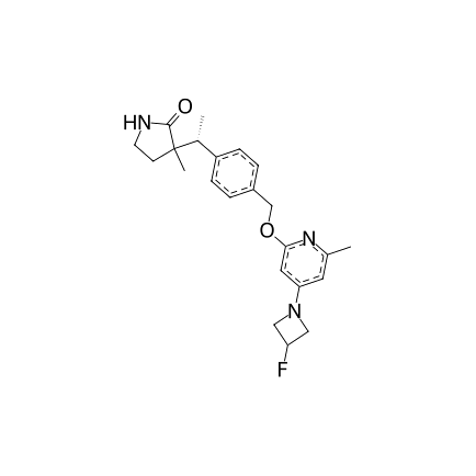 Cc1cc(N2CC(F)C2)cc(OCc2ccc([C@@H](C)C3(C)CCNC3=O)cc2)n1